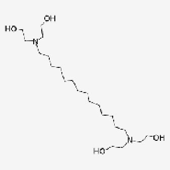 OCCN(CCO)CCCCCCCCCCCCCCN(CCO)CCO